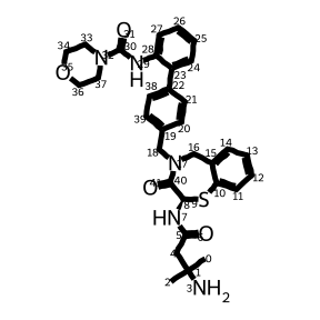 CC(C)(N)CC(=O)N[C@@H]1Sc2ccccc2CN(Cc2ccc(-c3ccccc3NC(=O)N3CCOCC3)cc2)C1=O